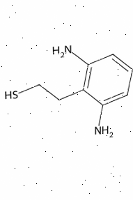 Nc1cccc(N)c1CCS